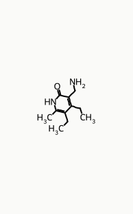 CCc1c(C)[nH]c(=O)c(CN)c1CC